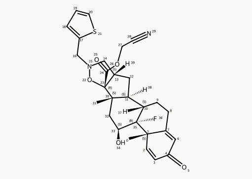 C[C@]12C=CC(=O)C=C1CC[C@H]1[C@@H]3C[C@H]4CN(Cc5cccs5)O[C@@]4(C(=O)OCC#N)[C@@]3(C)C[C@H](O)[C@@]12F